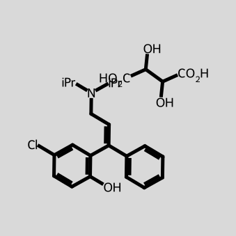 CC(C)N(C/C=C(/c1ccccc1)c1cc(Cl)ccc1O)C(C)C.O=C(O)C(O)C(O)C(=O)O